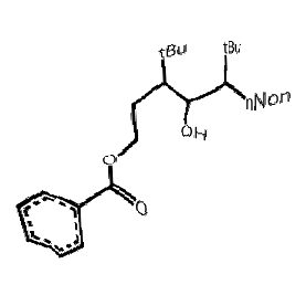 CCCCCCCCCC(C(O)C(CCOC(=O)c1ccccc1)C(C)(C)C)C(C)(C)C